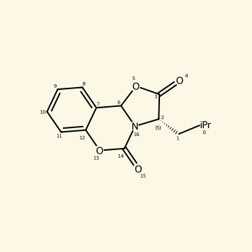 CC(C)C[C@H]1C(=O)OC2c3ccccc3OC(=O)N21